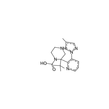 Cc1cnn(-c2cccnc2C2(C(C)(C)C)CNCCN2C(=O)O)c1